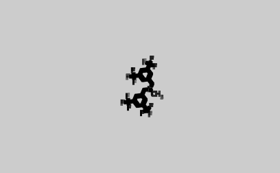 CN(Cc1cc(C(F)(F)F)cc(C(F)(F)F)c1)Cc1cc(C(F)(F)F)cc(C(F)(F)F)c1